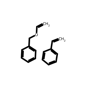 C=COCc1ccccc1.C=Cc1ccccc1